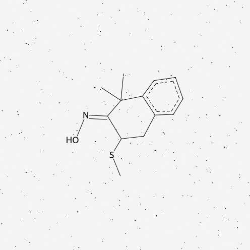 CSC1Cc2ccccc2C(C)(C)C1=NO